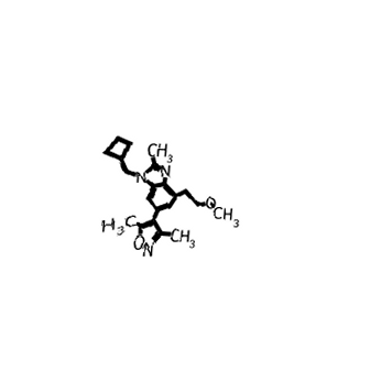 COCCc1cc(-c2c(C)noc2C)cc2c1nc(C)n2CC1CCC1